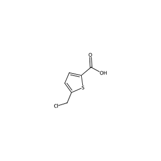 O=C(O)c1ccc(CCl)s1